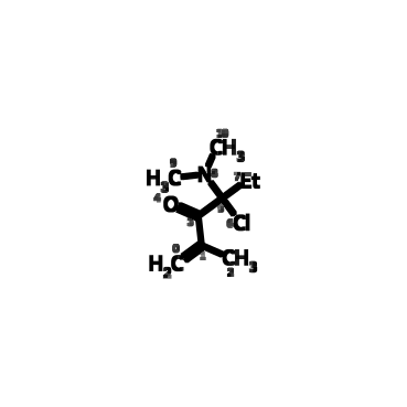 C=C(C)C(=O)C(Cl)(CC)N(C)C